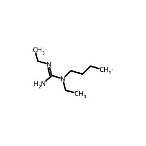 [CH2]CCCN(CC)/C(N)=N/CC